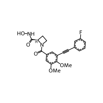 COc1cc(C(=O)N2CC[C@@H]2C(=O)NO)cc(C#Cc2cccc(F)c2)c1OC